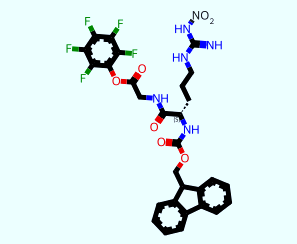 N=C(NCCC[C@H](NC(=O)OCC1c2ccccc2-c2ccccc21)C(=O)NCC(=O)Oc1c(F)c(F)c(F)c(F)c1F)N[N+](=O)[O-]